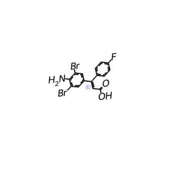 Nc1c(Br)cc(/C(=C/C(=O)O)c2ccc(F)cc2)cc1Br